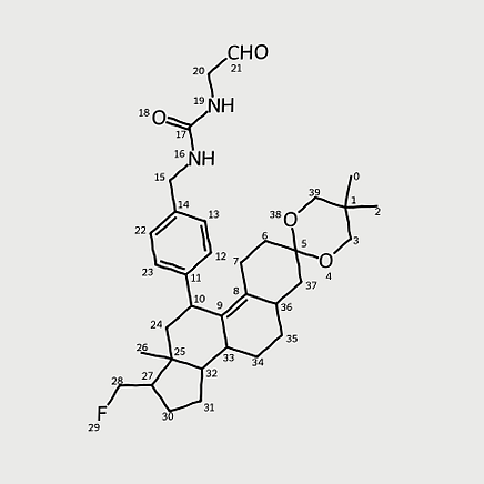 CC1(C)COC2(CCC3=C4C(c5ccc(CNC(=O)NCC=O)cc5)CC5(C)C(CF)CCC5C4CCC3C2)OC1